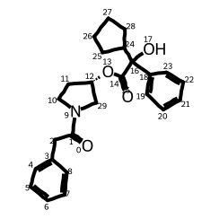 O=C(Cc1ccccc1)N1CC[C@H](OC(=O)C(O)(c2ccccc2)C2CCCC2)C1